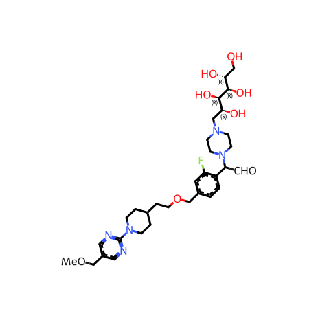 COCc1cnc(N2CCC(CCOCc3ccc(C(C=O)N4CCN(C[C@H](O)[C@@H](O)[C@H](O)[C@H](O)CO)CC4)c(F)c3)CC2)nc1